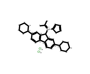 C[C](C)=[Zr+2]([C]1=CC=CC1)[CH]1c2cc(C3CCCCC3)ccc2-c2ccc(C3CCCCC3)cc21.[Cl-].[Cl-]